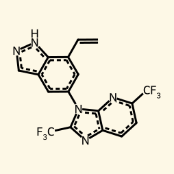 C=Cc1cc(-n2c(C(F)(F)F)nc3ccc(C(F)(F)F)nc32)cc2cn[nH]c12